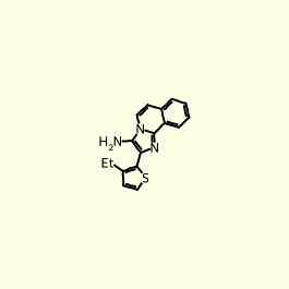 CCc1ccsc1-c1nc2c3ccccc3ccn2c1N